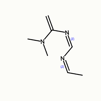 C=C(/N=C\N=C/C)N(C)C